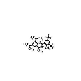 Cc1c(NSc2c(C(C)C)cc(C(C)C)cc2C(C)C)cc(C(F)(F)F)cc1C(F)(F)F